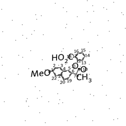 COc1ccc2cc(C(C)C(=O)Oc3ccccc3C(=O)O)ccc2c1